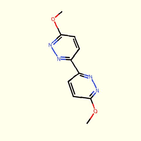 COc1ccc(-c2ccc(OC)nn2)nn1